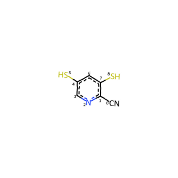 N#Cc1ncc(S)cc1S